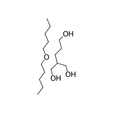 CCCCCOCCCCC.OCCCC(CO)CO